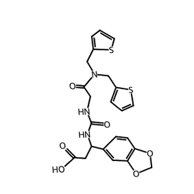 O=C(O)CC(NC(=O)NCC(=O)N(Cc1cccs1)Cc1cccs1)c1ccc2c(c1)OCO2